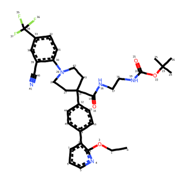 CCOc1ncccc1-c1ccc(C2(C(=O)NCCNC(=O)OC(C)(C)C)CCN(c3ccc(C(F)(F)F)cc3C#N)CC2)cc1